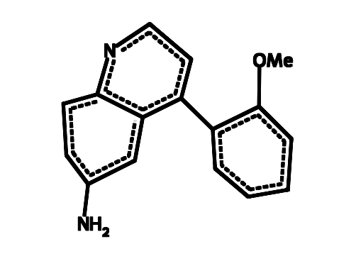 COc1ccccc1-c1ccnc2ccc(N)cc12